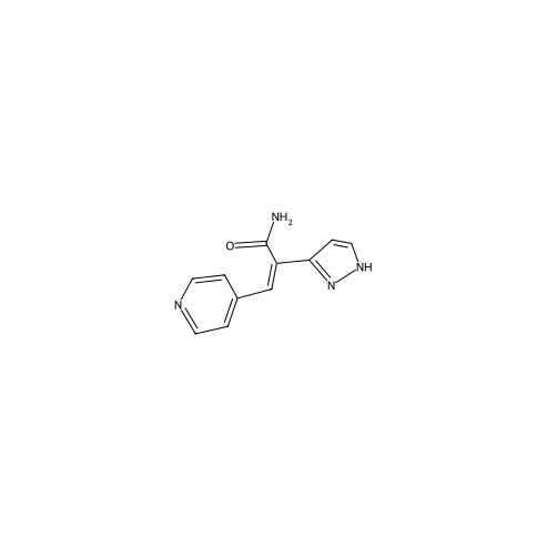 NC(=O)/C(=C\c1ccncc1)c1cc[nH]n1